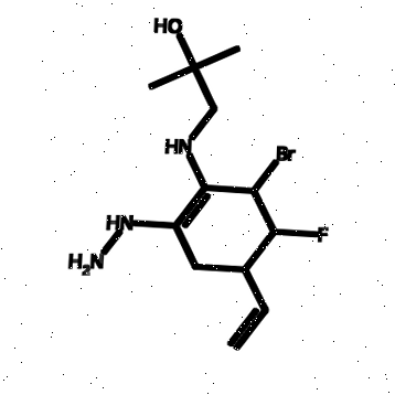 C=CC1CC(NN)=C(NCC(C)(C)O)C(Br)C1F